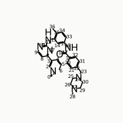 C=N/C=C(\C=C/C)c1ccnc(Nc2cc(NC(=O)c3ccc(CN4CCN(C)CC4)cc3)ccc2C)n1